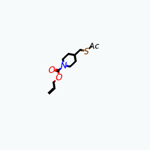 C=CCOC(=O)N1CCC(CSC(C)=O)CC1